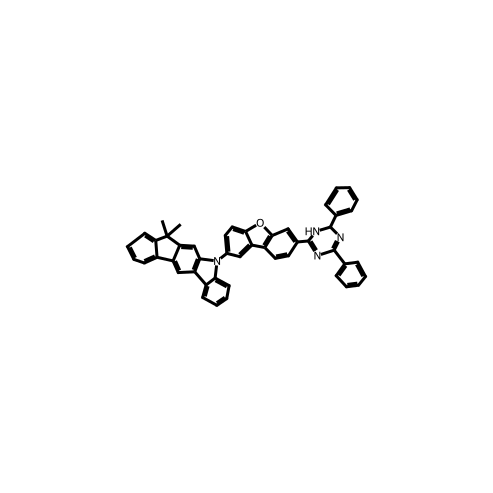 CC1(C)c2ccccc2-c2cc3c4ccccc4n(-c4ccc5oc6cc(C7=NC(c8ccccc8)=NC(c8ccccc8)N7)ccc6c5c4)c3cc21